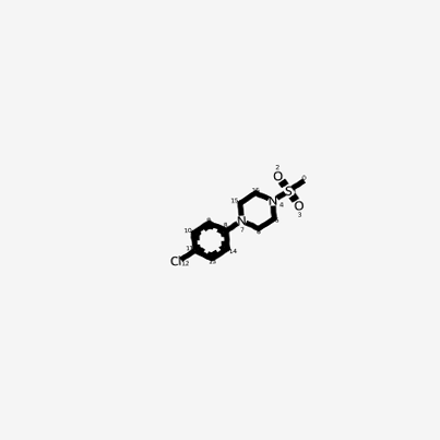 CS(=O)(=O)N1CCN(c2ccc(Cl)cc2)CC1